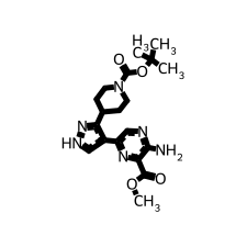 COC(=O)c1nc(-c2c[nH]nc2C2CCN(C(=O)OC(C)(C)C)CC2)cnc1N